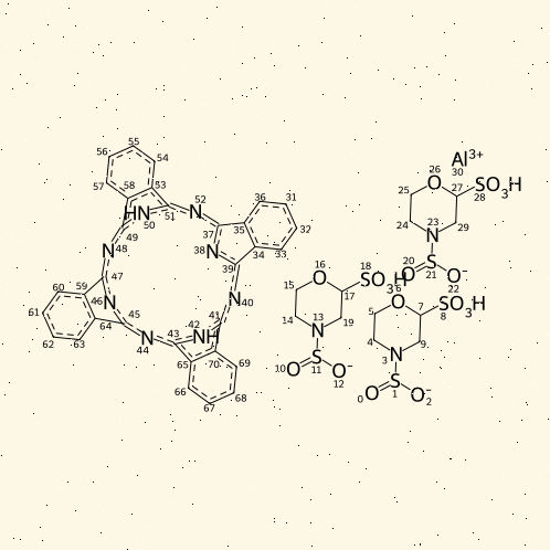 O=S([O-])N1CCOC(S(=O)(=O)O)C1.O=S([O-])N1CCOC(S(=O)(=O)O)C1.O=S([O-])N1CCOC(S(=O)(=O)O)C1.[Al+3].c1ccc2c(c1)-c1nc-2nc2[nH]c(nc3nc(nc4[nH]c(n1)c1ccccc41)-c1ccccc1-3)c1ccccc21